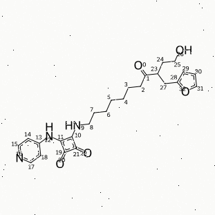 O=C(CCCCCCCNc1c(Nc2ccncc2)c(=O)c1=O)C(CCO)Cc1ccco1